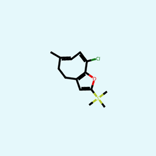 C/C1=C\C=C(\Cl)c2oc(S(C)(C)C)cc2CC1